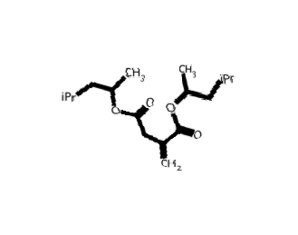 C=C(CC(=O)OC(C)CC(C)C)C(=O)OC(C)CC(C)C